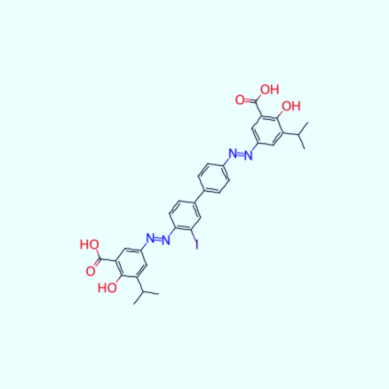 CC(C)c1cc(/N=N/c2ccc(-c3ccc(/N=N/c4cc(C(=O)O)c(O)c(C(C)C)c4)c(I)c3)cc2)cc(C(=O)O)c1O